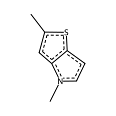 Cc1cc2c(ccn2C)s1